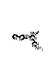 CCn1cnc2c(NCc3ccc(-c4ccccn4)nc3)nc(-c3cnc(N)nc3)nc21